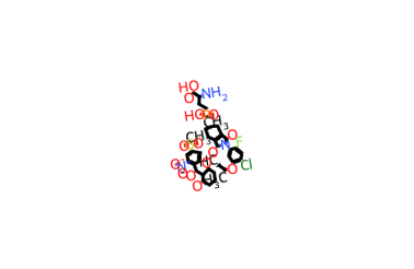 C#CC(C)Oc1cc(N2C(=O)C3=C(CCCC3)C2=O)c(F)cc1Cl.CP(=O)(O)CCC(N)C(=O)O.CS(=O)(=O)c1ccc(C(=O)C2C(=O)CCCC2=O)c([N+](=O)[O-])c1